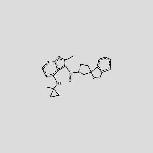 Cc1oc2ncnc(NC3(C)CC3)c2c1C(=O)N1CCC2(C1)OCc1ccccc12